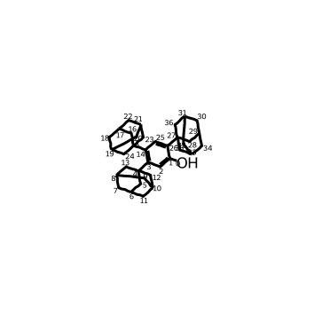 Oc1cc(C23CC4CC(CC(C4)C2)C3)c(C23CC4CC(CC(C4)C2)C3)cc1C12CC3CC(CC(C3)C1)C2